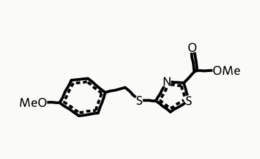 COC(=O)c1nc(SCc2ccc(OC)cc2)cs1